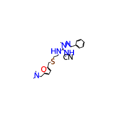 CN(C)Cc1ccc(CSCCNC(NC#N)=[N+](C)N=Cc2ccccc2)o1